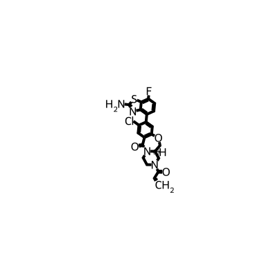 C=CC(=O)N1CCN2C(=O)c3cc(Cl)c(-c4ccc(F)c5sc(N)nc45)cc3OC[C@H]2C1